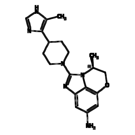 Cc1[nH]cnc1C1CCN(c2nc3cc(N)cc4c3n2[C@@H](C)CO4)CC1